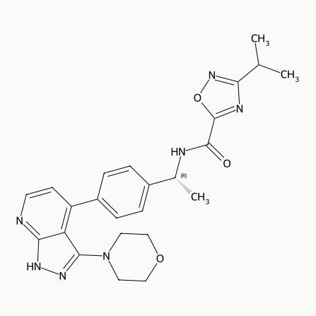 CC(C)c1noc(C(=O)N[C@H](C)c2ccc(-c3ccnc4[nH]nc(N5CCOCC5)c34)cc2)n1